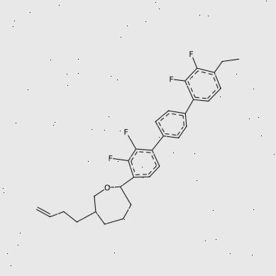 C=CCCC1CCCC(c2ccc(-c3ccc(-c4ccc(CC)c(F)c4F)cc3)c(F)c2F)OC1